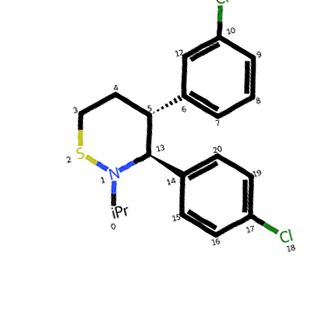 CC(C)N1SCC[C@H](c2cccc(Cl)c2)[C@H]1c1ccc(Cl)cc1